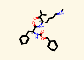 CNCCCC[C@H](NC(=O)[C@H](Cc1ccccc1)NC(=O)OCc1ccccc1)C(=O)C(C)C